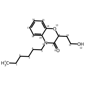 CCCCCCN1C(=O)C(CCO)Oc2ccccc21